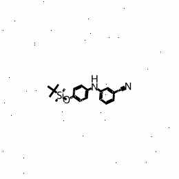 CC(C)(C)[Si](C)(C)Oc1ccc(Nc2cccc(C#N)c2)cc1